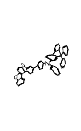 c1ccc(N(c2ccc(-c3ccc4c(c3)oc3ccc5oc6ccccc6c5c34)cc2)c2ccc3c(c2)C(c2ccccc2)(c2ccccc2)c2ccccc2-3)cc1